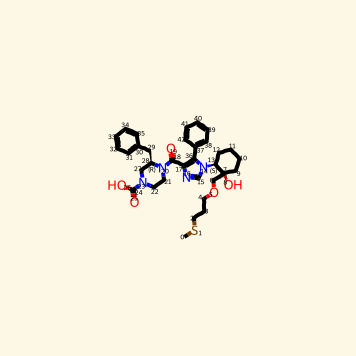 CSCCCOC[C@@]1(O)CCCC[C@@H]1n1cnc(C(=O)N2CCN(C(=O)O)C[C@H]2Cc2ccccc2)c1-c1ccccc1